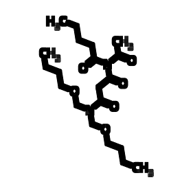 CCCCOCN(COCCCC)C(=O)CC(=O)N(C(C)=O)C(=O)CCCC